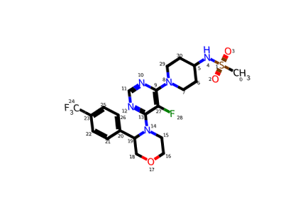 CS(=O)(=O)NC1CCN(c2ncnc(N3CCOCC3c3ccc(C(F)(F)F)cc3)c2F)CC1